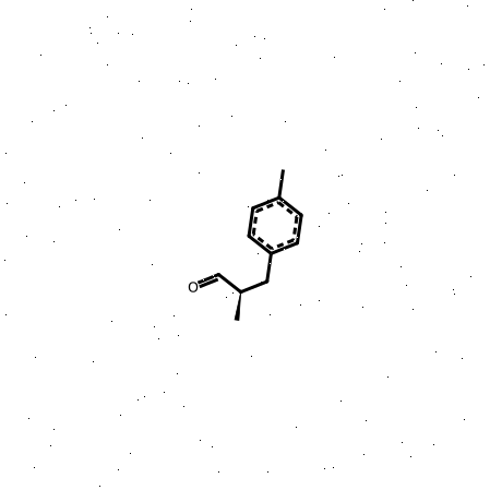 Cc1ccc(C[C@@H](C)C=O)cc1